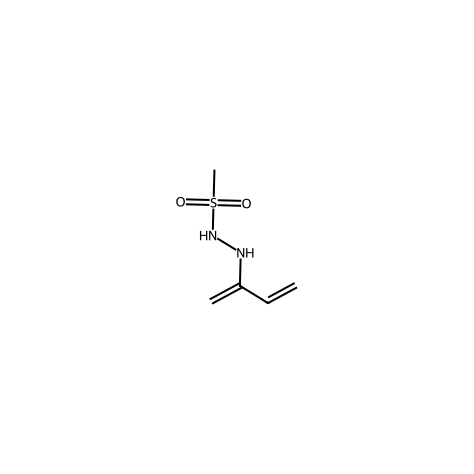 C=CC(=C)NNS(C)(=O)=O